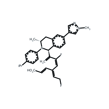 C=C(\C(F)=C/C(=C\CF)/C=C/C(=O)O)[C@@H]1c2ccc(-c3cnn(C)c3)cc2C[C@@H](C)N1c1ccc(C(C)C)cc1